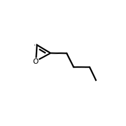 CCCCC1=[C]O1